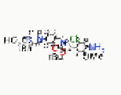 COc1cc(CCN(Cc2ccc(N3CCN(C(=O)O)C(C(C)(C)C)C3)cc2)C(=O)OC(C)(C)C)c(Cl)cc1N